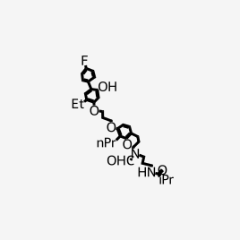 CCCc1c(OCCCOc2cc(O)c(-c3ccc(F)cc3)cc2CC)ccc2c1OC(N(C=O)CCCNC(=O)C(C)C)CC2